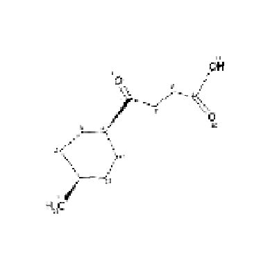 C[C@H]1CC[C@@H](C(=O)CCC(=O)O)CC1